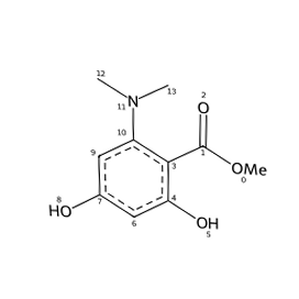 COC(=O)c1c(O)cc(O)cc1N(C)C